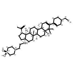 C=C(C)[C@@H]1CC[C@]2(NCCN3CCS(=O)(=O)CC3)CC[C@]3(C)[C@H](CCC4[C@@]5(C)CC=C(C6=CC[C@H](CF)CC6)C(C)(C)[C@@H]5CC[C@]43C)C12